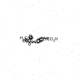 CN1C(=O)C[C@H](C(=O)NCCCN2CCC3(CC2)CCN(CCCC(=O)O)CC3)[C@H]1c1cccnc1